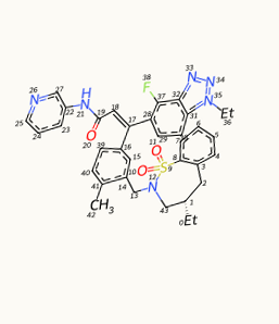 CC[C@H]1Cc2ccccc2S(=O)(=O)N(Cc2cc(C(=CC(=O)Nc3cccnc3)c3ccc4c(nnn4CC)c3F)ccc2C)C1